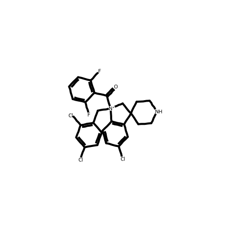 O=C(c1c(F)cccc1F)[N+]1(Cc2ccc(Cl)cc2Cl)CC2(CCNCC2)c2cc(Cl)ccc21